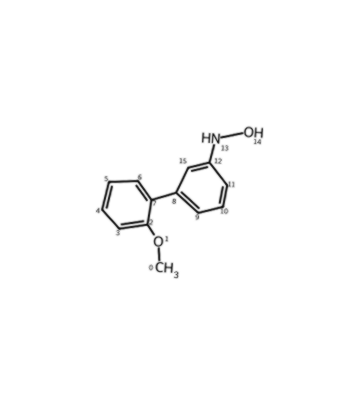 COc1ccccc1-c1cccc(NO)c1